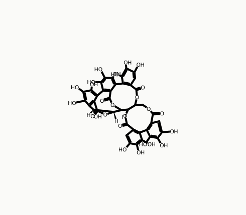 O=C1OCC2OC(=O)c3cc(O)c(O)c(O)c3-c3c(O)c(O)c(O)c4c3C(=O)OC([C@@H]2OC(=O)c2cc(O)c(O)c(O)c2-c2c1cc(O)c(O)c2O)[C@@H]1OC(=O)c2c-4c(O)c(O)c(O)c2[C@H]1O